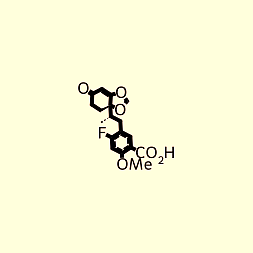 COc1cc(F)c(C[C@H](C)[C@]23CCC(=O)C=C2OCO3)cc1C(=O)O